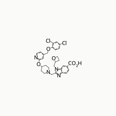 O=C(O)c1ccc2nc(CN3CCC(Oc4cc(COc5ccc(Cl)cc5Cl)ccn4)CC3)n(CC3CCO3)c2c1